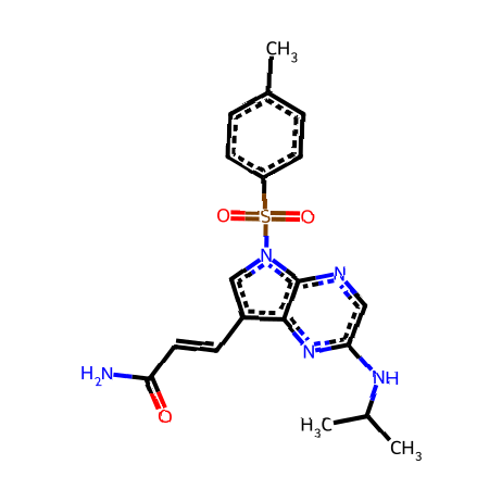 Cc1ccc(S(=O)(=O)n2cc(C=CC(N)=O)c3nc(NC(C)C)cnc32)cc1